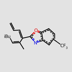 C=C/C=C(\C(C)=C/C(C)CC)c1nc2cc(C(F)(F)F)ccc2o1